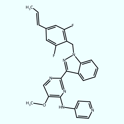 CC=Cc1cc(F)c(Cn2nc(-c3ncc(OC)c(Nc4ccncc4)n3)c3ccccc32)c(F)c1